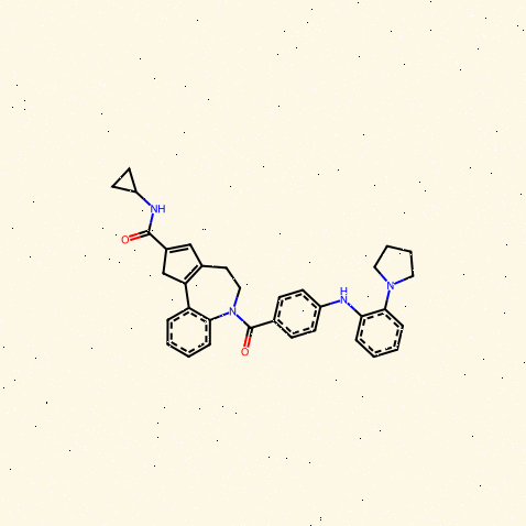 O=C(NC1CC1)C1=CC2=C(C1)c1ccccc1N(C(=O)c1ccc(Nc3ccccc3N3CCCC3)cc1)CC2